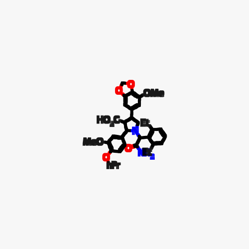 CCCOc1ccc(C2C(C(=O)O)C(c3cc(OC)c4c(c3)OCO4)CN2C(C(N)=O)c2c(CC)cccc2CC)cc1OC